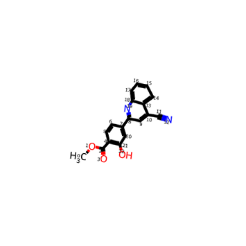 COC(=O)c1ccc(-c2cc(C#N)c3ccccc3n2)cc1O